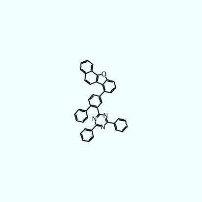 c1ccc(-c2nc(-c3ccccc3)nc(-c3cc(-c4cccc5oc6c7ccccc7ccc6c45)ccc3-c3ccccc3)n2)cc1